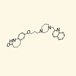 O=C1CCCc2cc(OCCCN3CCCN(Cc4ccc5ccccc5n4)CC3)ccc2N1